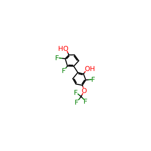 Oc1ccc(-c2ccc(OC(F)(F)F)c(F)c2O)c(F)c1F